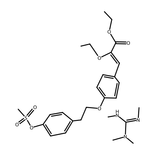 C/N=C(\NC)N(C)C.CCOC(=O)/C(=C/c1ccc(OCCc2ccc(OS(C)(=O)=O)cc2)cc1)OCC